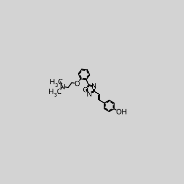 CN(C)CCOc1ccccc1-c1nc(/C=C/c2ccc(O)cc2)no1